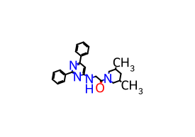 CC1CC(C)CN(C(=O)CNc2cc(-c3ccccc3)nc(-c3ccccc3)n2)C1